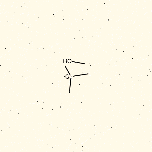 CO.[CH3][Ge]([CH3])[CH3]